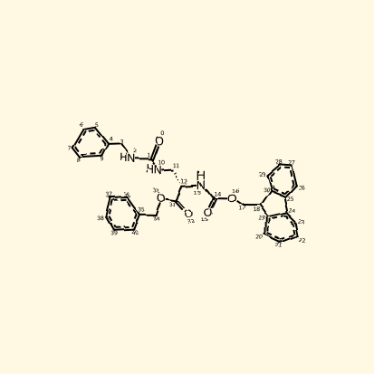 O=C(NCc1ccccc1)NC[C@H](NC(=O)OCC1c2ccccc2-c2ccccc21)C(=O)OCc1ccccc1